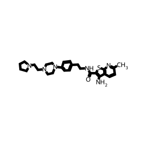 Cc1ccc2c(N)c(C(=O)NCCc3ccc(N4CCN(CCN5CCCC5)CC4)cc3)sc2n1